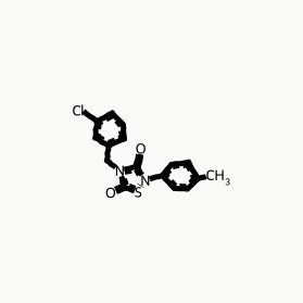 Cc1ccc(-n2sc(=O)n(Cc3cccc(Cl)c3)c2=O)cc1